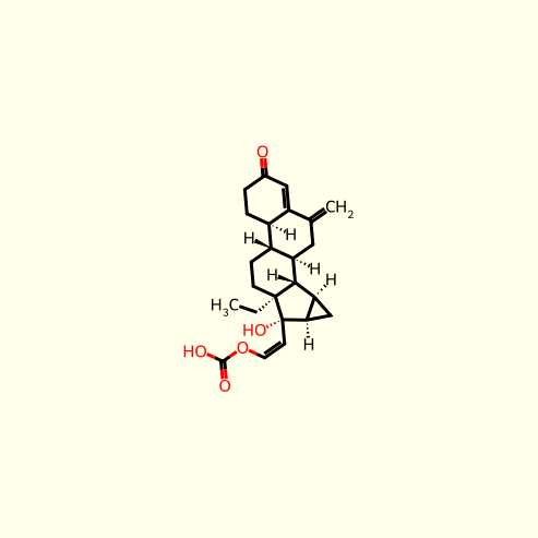 C=C1C[C@@H]2[C@H](CC[C@@]3(CC)[C@H]2[C@H]2C[C@H]2[C@@]3(O)/C=C\OC(=O)O)[C@H]2CCC(=O)C=C12